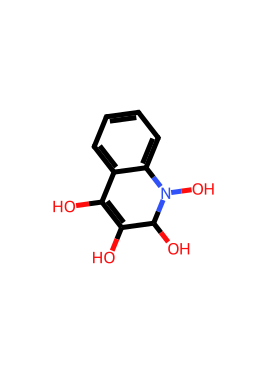 OC1=C(O)C(O)N(O)c2ccccc21